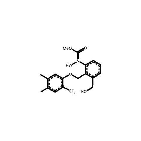 COC(=O)N(O)c1cccc(CO)c1COc1cc(C)c(C)cc1C(F)(F)F